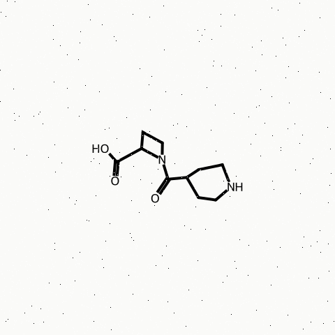 O=C(O)C1CCN1C(=O)C1CCNCC1